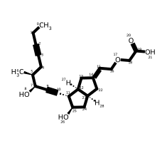 CCC#CC[C@H](C)[C@H](O)C#C[C@@H]1[C@H]2CC(=CCOCC(=O)O)C[C@H]2C[C@H]1O